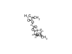 C=C(C)C(=O)OCC(=O)OC1C2CC3CC(C2)C(C)OC1C3